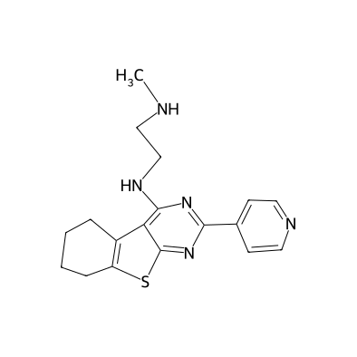 CNCCNc1nc(-c2ccncc2)nc2sc3c(c12)CCCC3